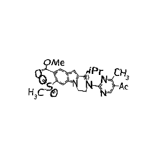 COC(=O)c1cc2cc3n(c2cc1S(C)(=O)=O)CCN(c1ncc(C(C)=O)c(C)n1)[C@@H]3C(C)C